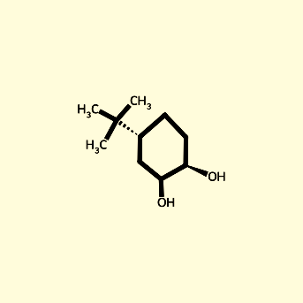 CC(C)(C)[C@@H]1CC[C@@H](O)C(O)C1